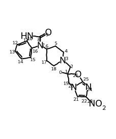 CC1(CN2CCC(n3c(=O)[nH]c4ccccc43)CC2)Cn2cc([N+](=O)[O-])nc2O1